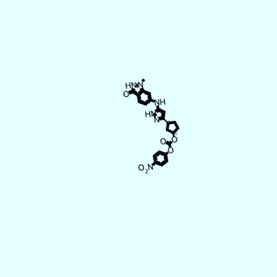 Cn1[nH]c(=O)c2ccc(Nc3cc([C@H]4CC[C@@H](OC(=O)Oc5ccc([N+](=O)[O-])cc5)C4)n[nH]3)cc21